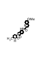 C=C1CCC(N2Cc3cc(NC(=O)c4ccc5cc(OC)ccc5n4)ccc3C2=O)C(=O)N1